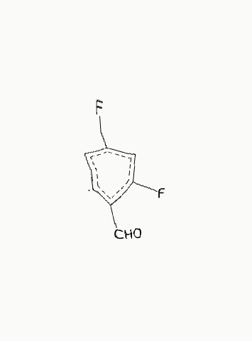 O=Cc1[c]cc(F)cc1F